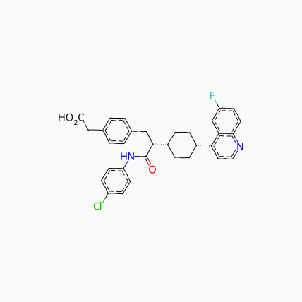 O=C(O)Cc1ccc(CC(C(=O)Nc2ccc(Cl)cc2)[C@H]2CC[C@@H](c3ccnc4ccc(F)cc43)CC2)cc1